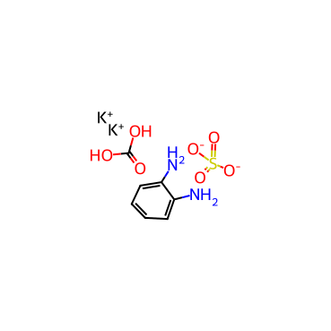 Nc1ccccc1N.O=C(O)O.O=S(=O)([O-])[O-].[K+].[K+]